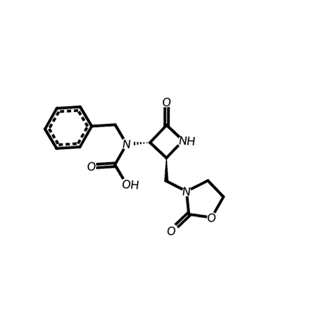 O=C1N[C@@H](CN2CCOC2=O)[C@@H]1N(Cc1ccccc1)C(=O)O